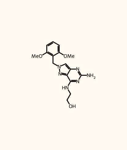 COc1cccc(OC)c1Cn1cc2nc(N)nc(NCCO)c2n1